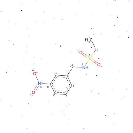 CCS(=O)(=O)NCc1cccc([N+](=O)[O-])c1